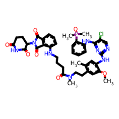 COc1cc(CCN(C)C(=O)CCCNc2cccc3c2C(=O)N(C2CCC(=O)NC2=O)C3=O)c(C)cc1Nc1ncc(Cl)c(Nc2ccccc2P(C)(C)=O)n1